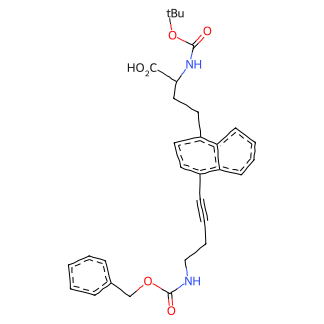 CC(C)(C)OC(=O)NC(CCc1ccc(C#CCCNC(=O)OCc2ccccc2)c2ccccc12)C(=O)O